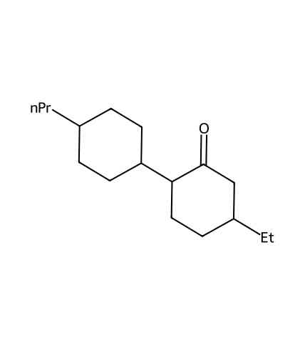 CCCC1CCC(C2CCC(CC)CC2=O)CC1